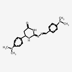 CN(C)c1ccc(C=NN=C2NC(=O)CC(c3ccc(N(C)C)cc3)N2)cc1